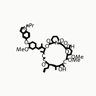 C=CCC1/C=C(\C)C(O)C(C)CC(OC)C2OC(O)(C(=O)C(=O)N3CCCCC3C(=O)OC(C(C)=CC3CCC(Oc4ccc5c(ccn5CCC)c4)C(OC)C3)C(C)CCC1=O)C(C)CC2OC